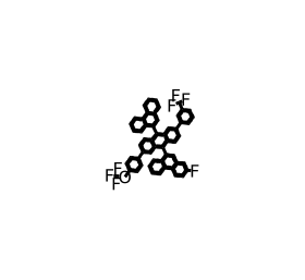 Fc1ccc2c(c1)cc(-c1c3ccc(-c4cccc(C(F)(F)F)c4)cc3c(-c3cc4ccccc4c4ccccc34)c3ccc(-c4ccc(OC(F)(F)F)cc4)cc13)c1ccccc12